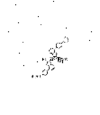 CCCC(C)C1=Cc2c(-c3ccc(C4CCCCC4)cc3)cccc2[CH]1[Zr+2][CH]1C(CC)=Cc2c(-c3ccc(C(C)CCC)cc3)cccc21.[Cl-].[Cl-]